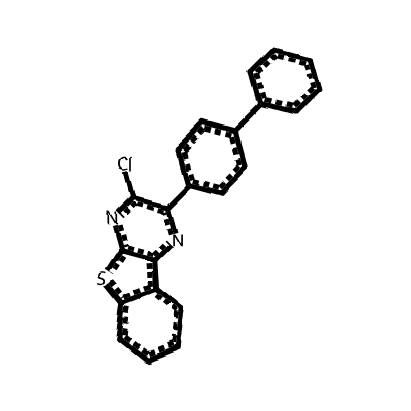 Clc1nc2sc3ccccc3c2nc1-c1ccc(-c2ccccc2)cc1